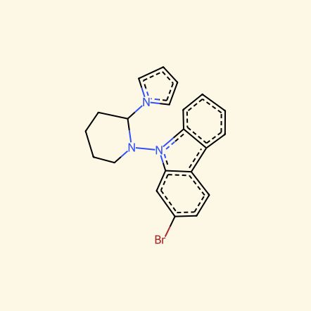 Brc1ccc2c3ccccc3n(N3CCCCC3n3cccc3)c2c1